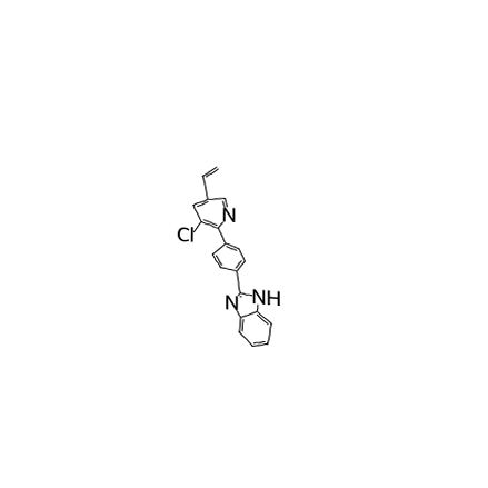 C=Cc1cnc(-c2ccc(-c3nc4ccccc4[nH]3)cc2)c(Cl)c1